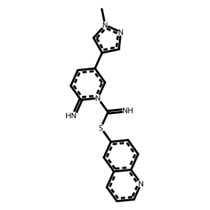 Cn1cc(-c2ccc(=N)n(C(=N)Sc3ccc4ncccc4c3)c2)cn1